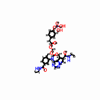 CCNC(=O)c1ccc(C)c(N(C(=O)OCOC(=O)Cc2ccc(OP(=O)(O)O)cc2)c2ncnn3cc(C(=O)NCC)c(C)c23)c1